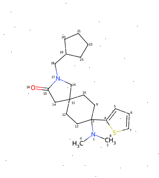 CN(C)C1(c2cccs2)CCC2(CC1)CC(=O)N(CC1CCCC1)C2